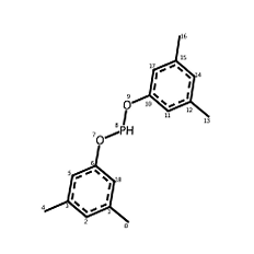 Cc1cc(C)cc(OPOc2cc(C)cc(C)c2)c1